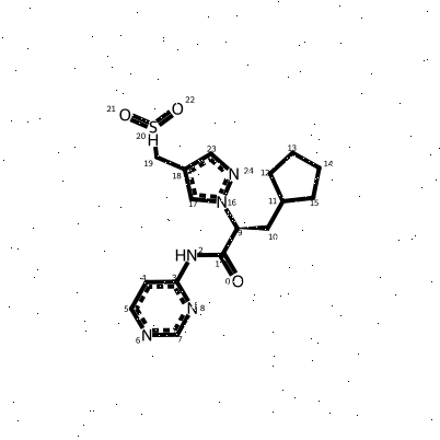 O=C(Nc1ccncn1)[C@H](CC1CCCC1)n1cc(C[SH](=O)=O)cn1